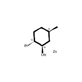 CC(C)[C@@H]1CC[C@@H](C)C[C@H]1O.[Zn]